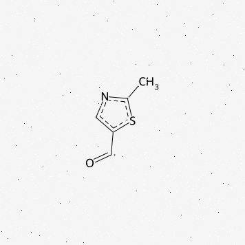 Cc1ncc([C]=O)s1